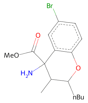 CCCCC1Oc2ccc(Br)cc2C(N)(C(=O)OC)C1C